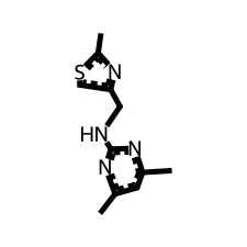 Cc1cc(C)nc(NCc2csc(C)n2)n1